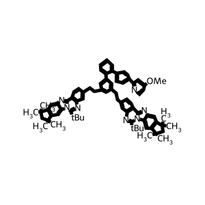 COc1ccnc(-c2ccc(-c3ccccc3-c3cc(CCc4ccc5c(c4)nc(C(C)(C)C)n4c6cc7c(cc6nc54)C(C)(C)CC7(C)C)cc(CCc4ccc5c(c4)nc(C(C)(C)C)n4c6cc7c(cc6nc54)C(C)(C)CC7(C)C)c3)cc2)c1